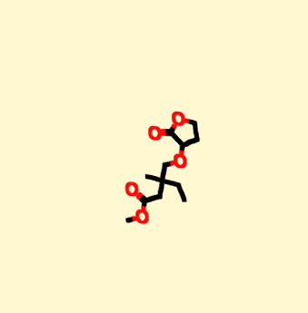 CCC(C)(COC1CCOC1=O)CC(=O)OC